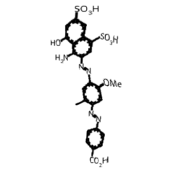 COc1cc(/N=N/c2ccc(C(=O)O)cc2)c(C)cc1/N=N/c1cc(S(=O)(=O)O)c2cc(S(=O)(=O)O)cc(O)c2c1N